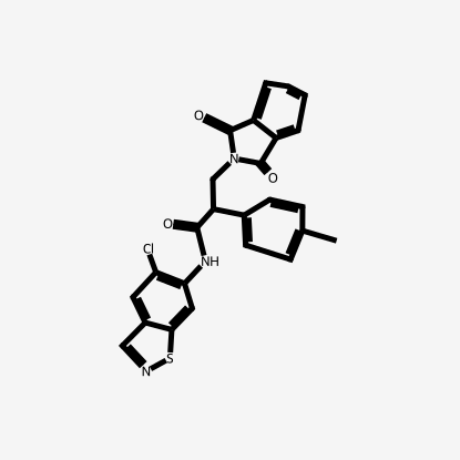 Cc1ccc(C(CN2C(=O)c3ccccc3C2=O)C(=O)Nc2cc3sncc3cc2Cl)cc1